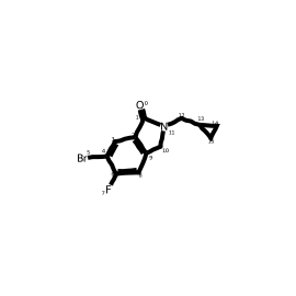 O=C1c2cc(Br)c(F)cc2CN1CC1CC1